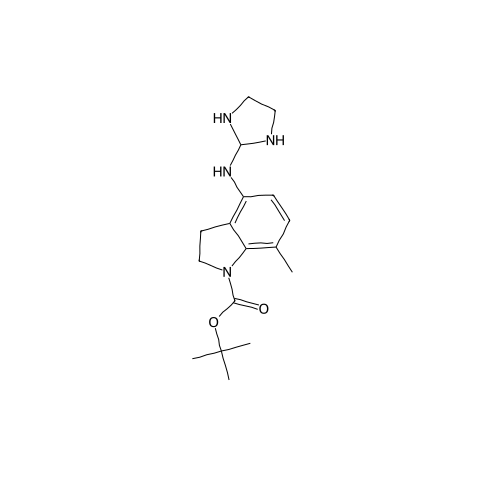 Cc1ccc(NC2NCCN2)c2c1N(C(=O)OC(C)(C)C)CC2